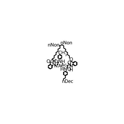 CCCCCCCCCCCCc1ccc(NC(=O)/C(=N\Nc2ccccc2C(=O)OCCCCCCCCC(CCCCCCCCC)C(CCCCCCCCC)CCCCCCCCOC(=O)c2ccccc2N/N=C(/C(C)=O)C(=O)Nc2ccc(C)cc2)C(C)=O)cc1